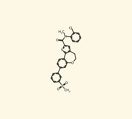 CN(C(=O)c1cc2c(s1)-c1ccc(-c3cccc(S(C)(=O)=O)c3)cc1OCC2)c1ccccc1Cl